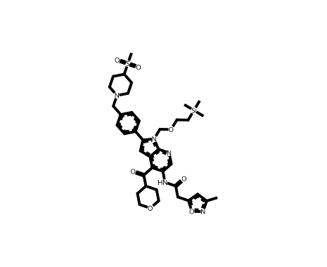 Cc1cc(CC(=O)Nc2cnc3c(cc(-c4ccc(CN5CCC(S(C)(=O)=O)CC5)cc4)n3COCC[Si](C)(C)C)c2C(=O)C2CCOCC2)on1